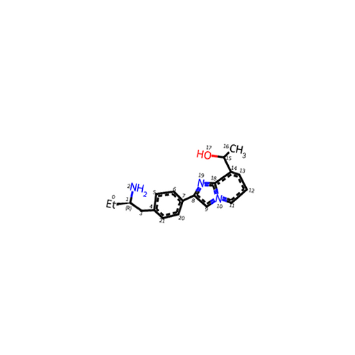 CC[C@@H](N)Cc1ccc(-c2cn3cccc(C(C)O)c3n2)cc1